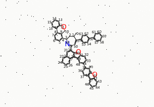 CC1CC(c2cccc3c2COc2ccccc2-3)N=C(c2cc3ccccc3c3c2oc2ccc(-c4ccc5c(c4)oc4ccccc45)cc23)C=C1c1ccc(-c2ccccc2)cc1